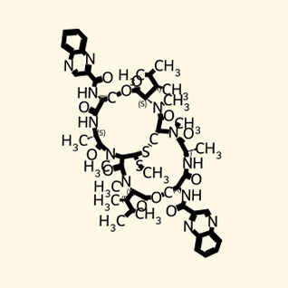 CSC1SCC2C(=O)N(C)[C@@H]([C@H](C)C(C)C)C(=O)OC[C@@H](NC(=O)c3cnc4ccccc4n3)C(=O)N[C@@H](C)C(=O)N(C)C1C(=O)N(C)[C@@H]([C@H](C)C(C)C)C(=O)OC[C@@H](NC(=O)c1cnc3ccccc3n1)C(=O)N[C@@H](C)C(=O)N2C